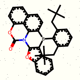 CC(C)(C)Cc1cccc(CC(C)(C)C)c1B1c2ccc3cccc4c3c2N(C(=O)O4)c2oc3ccccc3c21